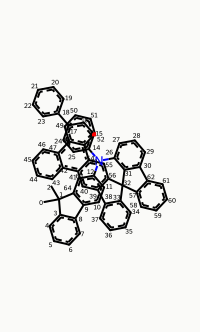 CC1(C)c2ccccc2-c2ccc(N(c3ccc(-c4ccccc4)cc3)c3cccc4c3C3(c5ccccc5-c5cc6c7ccccc7c7ccccc7c6cc53)c3ccccc3-4)cc21